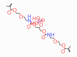 C=C(C)C(=O)OCCOCCNC(=O)OCC(COC(=O)NCCOCCOC(=O)C(=C)C)OP(=O)(O)O